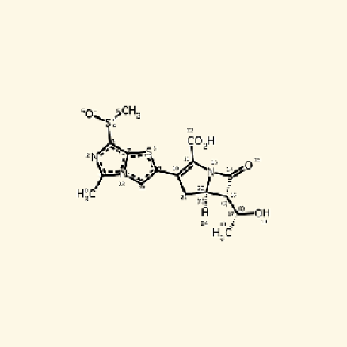 Cc1nc([S+](C)[O-])c2sc(C3=C(C(=O)O)N4C(=O)[C@H]([C@@H](C)O)[C@H]4C3)cn12